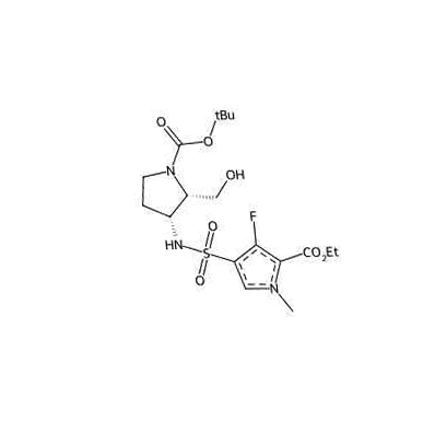 CCOC(=O)c1c(F)c(S(=O)(=O)N[C@@H]2CCN(C(=O)OC(C)(C)C)[C@@H]2CO)cn1C